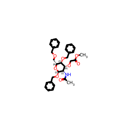 COC(=O)CO[C@@H]1[C@H](NC(C)=O)[C@@H](OCc2ccccc2)O[C@H](COCc2ccccc2)[C@H]1OCc1ccccc1